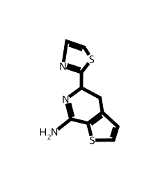 NC1=NC(c2nccs2)Cc2ccsc21